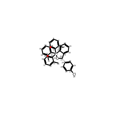 Cc1ccccc1P1(c2ccccc2C)(c2ccccc2C)O[C@@H](c2ccc(Cl)cc2)c2ccccc21